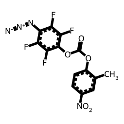 Cc1cc([N+](=O)[O-])ccc1OC(=O)Oc1c(F)c(F)c(N=[N+]=[N-])c(F)c1F